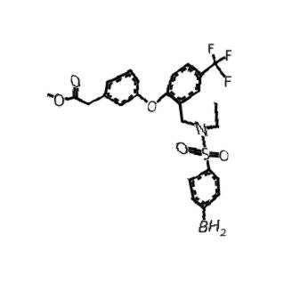 Bc1ccc(S(=O)(=O)N(CC)Cc2cc(C(F)(F)F)ccc2Oc2cccc(CC(=O)OC)c2)cc1